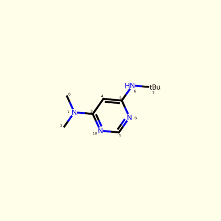 CN(C)c1cc(NC(C)(C)C)ncn1